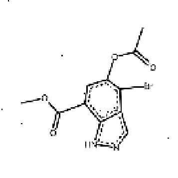 COC(=O)c1cc(OC(C)=O)c(Br)c2cn[nH]c12